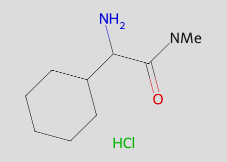 CNC(=O)C(N)C1CCCCC1.Cl